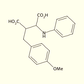 COc1ccc(CC(C(=O)O)C(Nc2ccccc2)C(=O)O)cc1